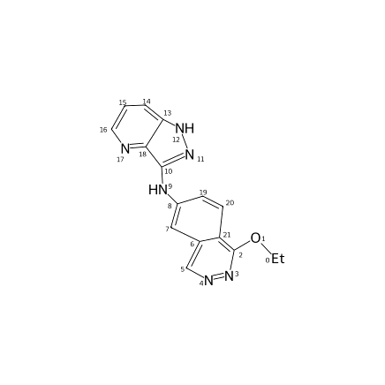 CCOc1nncc2cc(Nc3n[nH]c4cccnc34)ccc12